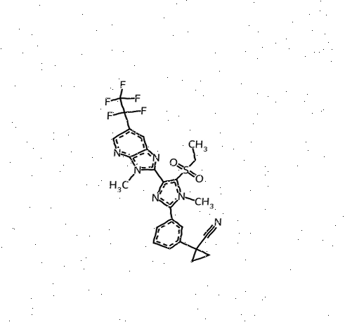 CCS(=O)(=O)c1c(-c2nc3cc(C(F)(F)C(F)(F)F)cnc3n2C)nc(-c2cccc(C3(C#N)CC3)c2)n1C